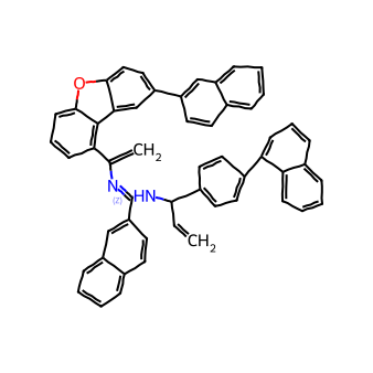 C=CC(N/C(=N\C(=C)c1cccc2oc3ccc(-c4ccc5ccccc5c4)cc3c12)c1ccc2ccccc2c1)c1ccc(-c2cccc3ccccc23)cc1